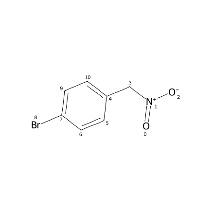 O=[N+]([O-])Cc1ccc(Br)cc1